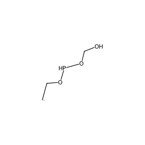 [CH2]COPOCO